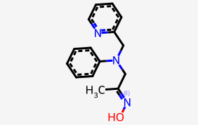 C/C(CN(Cc1ccccn1)c1ccccc1)=N\O